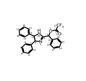 O=C(OC(C1=NC(c2ccccc2)C(c2ccccc2)N1)c1ccccc1)C(F)(F)F